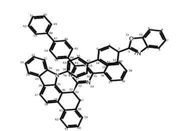 C1=CC(c2nc3ccccc3o2)CC=C1c1ccc(-n2c3ccccc3c3ccc4c(c32)[C@@H](c2nc(-c3ccccc3)nc(-c3ccc(-c5ccccc5)cc3)n2)Cc2ccccc2-4)cc1